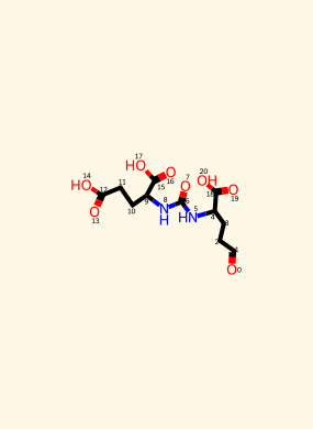 O=CCCC(NC(=O)NC(CCC(=O)O)C(=O)O)C(=O)O